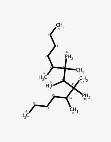 CCCCC(C)C(C)(P)C(P)C(C)(P)C(C)CCCC